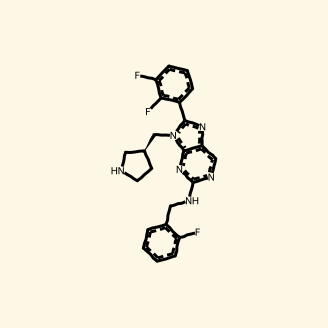 Fc1ccccc1CNc1ncc2nc(-c3cccc(F)c3F)n(C[C@H]3CCNC3)c2n1